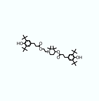 CC(C)(C)c1cc(CCC(=O)OCCN2CCC(OC(=O)CCc3cc(C(C)(C)C)c(O)c(C(C)(C)C)c3)C(C)(C)C2(C)C)cc(C(C)(C)C)c1O